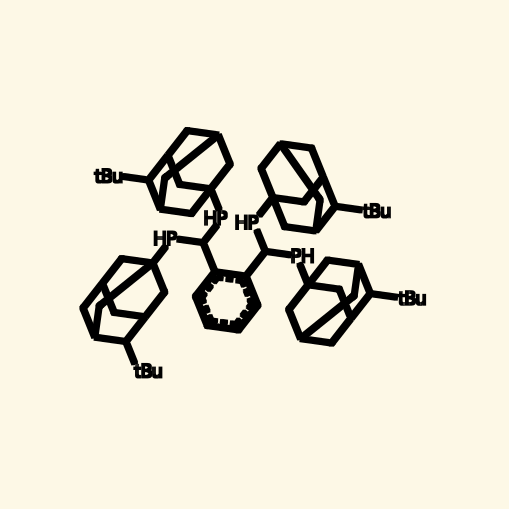 CC(C)(C)C1C2CC3CC1CC(PC(PC14CC5CC(C1)C(C(C)(C)C)C(C5)C4)c1ccccc1C(PC14CC5CC(C1)C(C(C)(C)C)C(C5)C4)PC14CC5CC(C1)C(C(C)(C)C)C(C5)C4)(C3)C2